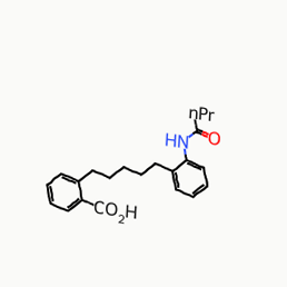 CCCC(=O)Nc1ccccc1CCCCCc1ccccc1C(=O)O